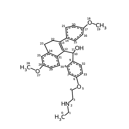 CCNCCOc1ccc(C(O)C2=C(c3ccc(OC)cc3)CCc3cc(OC)ccc32)cc1